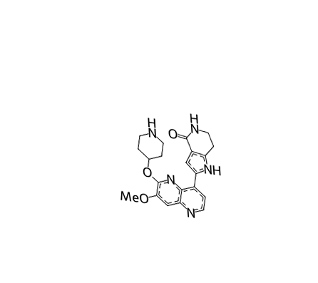 COc1cc2nccc(-c3cc4c([nH]3)CCNC4=O)c2nc1OC1CCNCC1